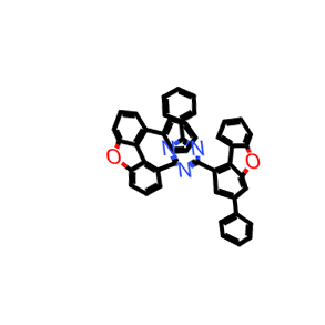 c1ccc(-c2cc(-c3nc(-c4ccccc4)nc(-c4cccc5oc6cccc(-c7ccccc7)c6c45)n3)c3c(c2)oc2ccccc23)cc1